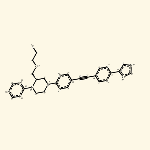 FCCOC[C@H]1CN(c2ncc(C#Cc3cnc(-c4cnco4)nc3)cn2)CCN1c1ncncn1